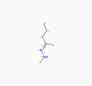 CCC/C(C)=N/NC